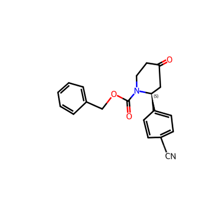 N#Cc1ccc([C@@H]2CC(=O)CCN2C(=O)OCc2ccccc2)cc1